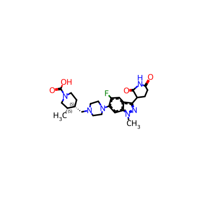 C[C@@H]1CN(C(=O)O)CC[C@@H]1CN1CCN(c2cc3c(cc2F)c(C2CCC(=O)NC2=O)nn3C)CC1